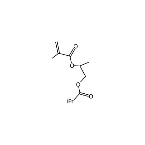 C=C(C)C(=O)OC(C)COC(=O)C(C)C